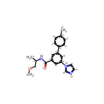 COCC(C)NC(=O)c1cc(-c2ccc(C)cc2)cc(-n2ccnc2)c1